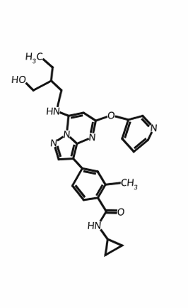 CCC(CO)CNc1cc(Oc2cccnc2)nc2c(-c3ccc(C(=O)NC4CC4)c(C)c3)cnn12